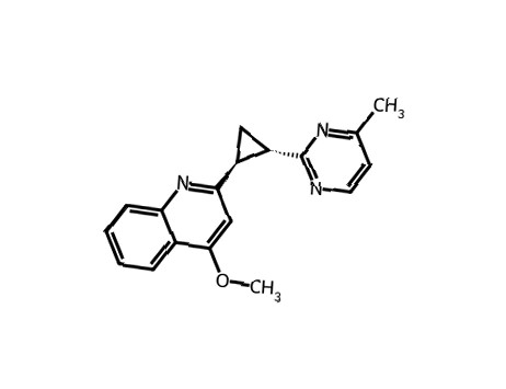 COc1cc([C@H]2C[C@@H]2c2nccc(C)n2)nc2ccccc12